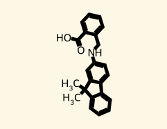 CC1(C)c2ccccc2-c2ccc(NCc3ccccc3C(=O)O)cc21